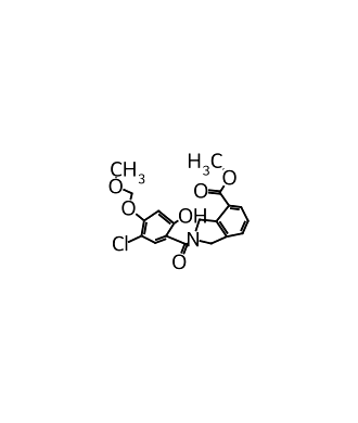 COCOc1cc(O)c(C(=O)N2Cc3cccc(C(=O)OC)c3C2)cc1Cl